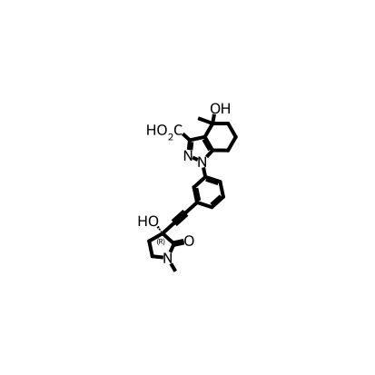 CN1CC[C@@](O)(C#Cc2cccc(-n3nc(C(=O)O)c4c3CCCC4(C)O)c2)C1=O